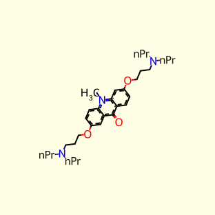 CCCN(CCC)CCCOc1ccc2c(c1)c(=O)c1ccc(OCCCN(CCC)CCC)cc1n2C